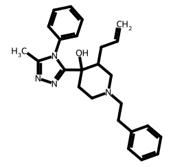 C=CCC1CN(CCc2ccccc2)CCC1(O)c1nnc(C)n1-c1ccccc1